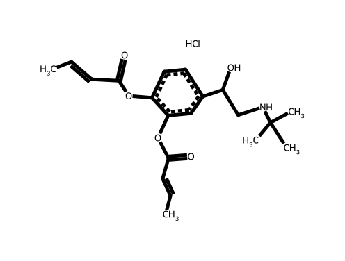 CC=CC(=O)Oc1ccc(C(O)CNC(C)(C)C)cc1OC(=O)C=CC.Cl